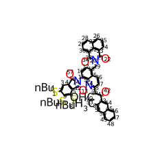 CCCCSc1cc2c(c(SCCCC)c1SCCCC)C(=O)N(c1ccc(CN3C(=O)c4cccc5cccc(c45)C3=O)c3ccc(C(C=O)C(=O)c4cc5ccccc5cc4C)nc13)C2=O